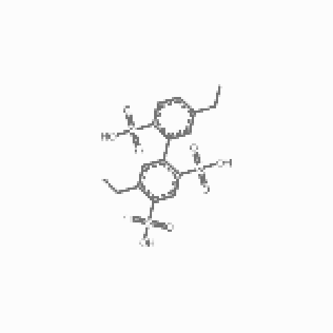 CCc1ccc(S(=O)(=O)O)c(-c2cc(CC)c(S(=O)(=O)O)cc2S(=O)(=O)O)c1